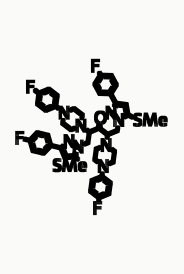 CSc1cc(-c2ccc(F)cc2)nn1CC(C(=O)C(Cn1nc(-c2ccc(F)cc2)cc1SC)N1CCN(c2ccc(F)cc2)CC1)N1CCN(c2ccc(F)cc2)CC1